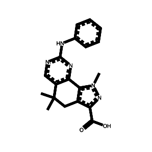 Cn1nc(C(=O)O)c2c1-c1nc(Nc3ccccc3)ncc1C(C)(C)C2